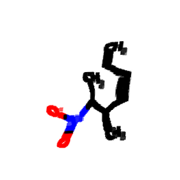 C=C/C=C\C(=C)C(C)[N+](=O)[O-]